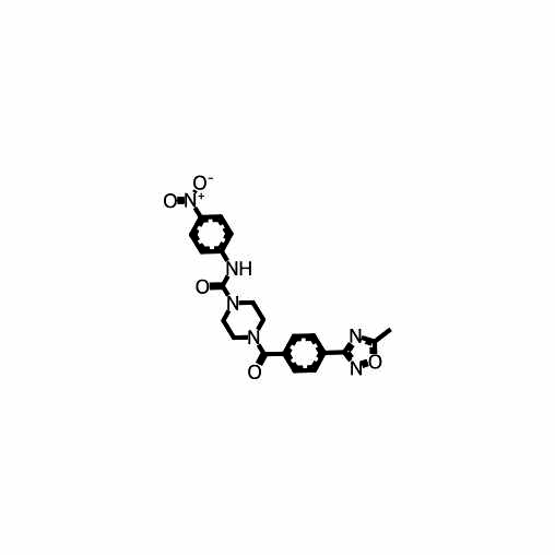 Cc1nc(-c2ccc(C(=O)N3CCN(C(=O)Nc4ccc([N+](=O)[O-])cc4)CC3)cc2)no1